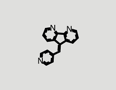 C(=C1c2cccnc2-c2ncccc21)c1ccncc1